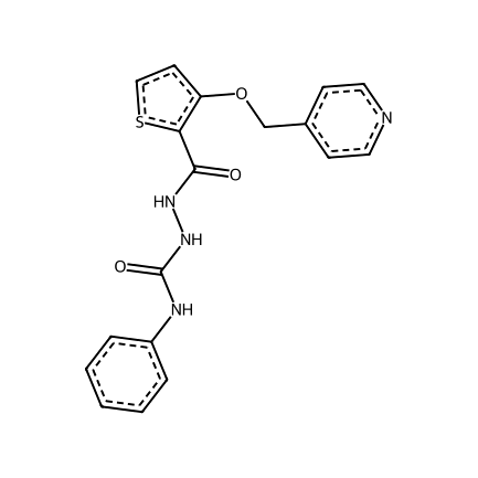 O=C(NNC(=O)c1sccc1OCc1ccncc1)Nc1ccccc1